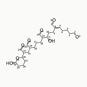 O=CCCC/C=C(/C=O)CCC(O)C(C=O)CCCC(C=O)CC(C=O)C1CCCC(O)O1